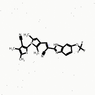 Cc1sc(-n2c(C)cc(/C=C(\C#N)c3nc4ccc(OC(F)(F)F)cc4[nH]3)c2C)c(C#N)c1C